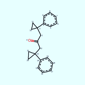 O=C(CC1(c2ccccc2)CC1)CC1(c2ccccc2)CC1